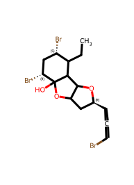 CCC1C2C3O[C@@H](C=C=CBr)CC3OC2(O)[C@H](Br)C[C@@H]1Br